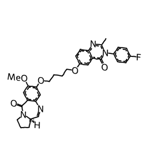 COc1cc2c(cc1OCCCCOc1ccc3nc(C)n(-c4ccc(F)cc4)c(=O)c3c1)N=C[C@@H]1CCCN1C2=O